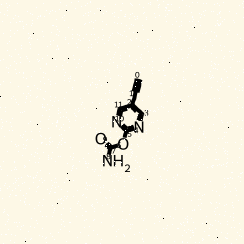 C#Cc1cnc(OC(N)=O)nc1